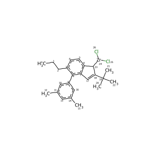 CCCc1ccc2c(c1-c1cc(C)cc(C)c1)C=C(C(C)(C)C)[CH]2[Zr]([Cl])[Cl]